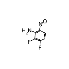 Nc1c(N=O)ccc(F)c1F